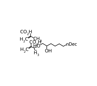 C=C(C)C(=O)O.C=C(C)C(=O)O.CCCCCCCCCCCCCCC(O)CO